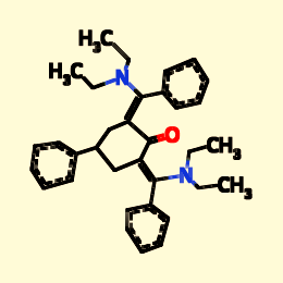 CCN(CC)C(=C1CC(c2ccccc2)CC(=C(c2ccccc2)N(CC)CC)C1=O)c1ccccc1